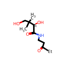 CCC(=O)CCNC(=O)[C@H](O)C(C)(C)CO